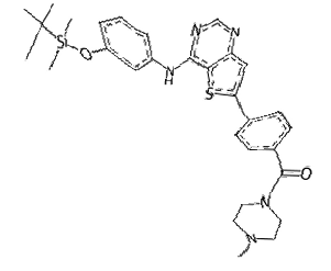 CN1CCN(C(=O)c2ccc(-c3cc4ncnc(Nc5cccc(O[Si](C)(C)C(C)(C)C)c5)c4s3)cc2)CC1